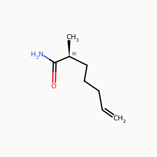 C=CCCC[C@H](C)C(N)=O